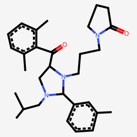 Cc1cccc(C2N(CC(C)C)CC(C(=O)c3c(C)cccc3C)N2CCCN2CCCC2=O)c1